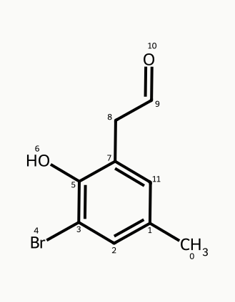 Cc1cc(Br)c(O)c(CC=O)c1